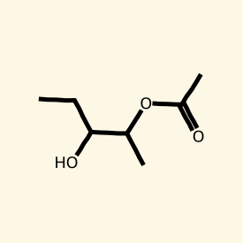 CCC(O)C(C)OC(C)=O